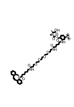 C[C@@H](C(=O)O)N(C)C(=O)OCc1ccc([N+](=O)[O-])cc1NC(=O)CCCC(=O)NCCOCCOCCOCCOCCC(=O)NCCCCCC(=O)N1Cc2ccccc2C#Cc2ccccc21